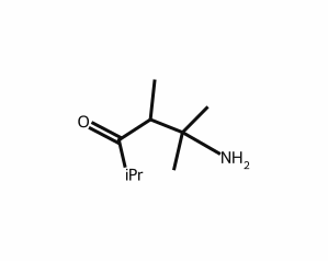 CC(C)C(=O)C(C)C(C)(C)N